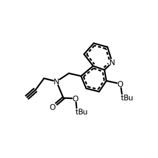 C#CCN(Cc1ccc(OC(C)(C)C)c2ncccc12)C(=O)OC(C)(C)C